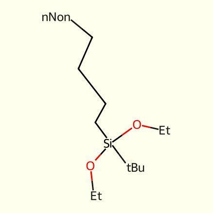 CCCCCCCCCCCCC[Si](OCC)(OCC)C(C)(C)C